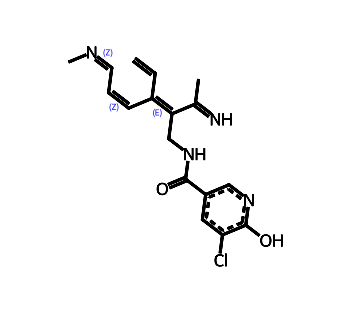 C=CC(/C=C\C=N/C)=C(/CNC(=O)c1cnc(O)c(Cl)c1)C(C)=N